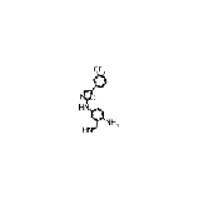 N=Cc1cc(Nc2ncc(-c3cccc(C(F)(F)F)c3)o2)ccc1N